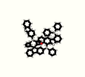 c1ccc(N(c2ccc3c(c2)C2(c4ccccc4-3)c3ccccc3N(c3ccc4c(c3)sc3ccccc34)c3ccccc32)c2c3ccccc3cc3c2oc2cccc(N(c4ccccc4)c4ccccc4)c23)cc1